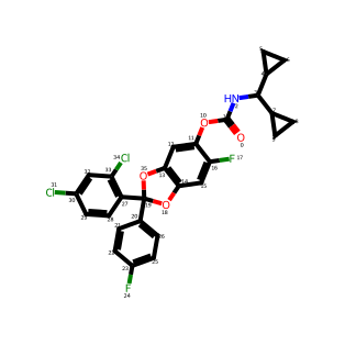 O=C(NC(C1CC1)C1CC1)Oc1cc2c(cc1F)OC(c1ccc(F)cc1)(c1ccc(Cl)cc1Cl)O2